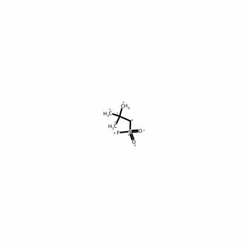 CC(C)(C)CS(=O)(=O)F